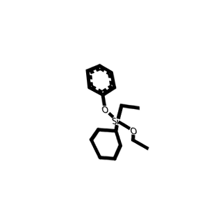 CCO[Si](CC)(Oc1ccccc1)C1CCCCC1